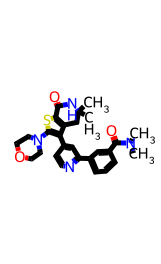 CN(C)C(=O)c1cccc(-c2cc(-c3c(N4CCOCC4)sc4c3CC(C)(C)NC4=O)ccn2)c1